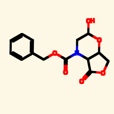 O=C1OCC2OC(O)CN(C(=O)OCc3ccccc3)C12